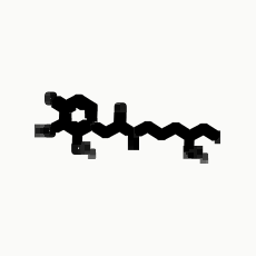 Cc1c(O)c(=O)ccn1CC(=O)NCCCC(N)CI